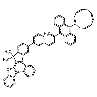 C=C(/C=C\c1cccc(-c2ccc3c(c2)-c2c(c4oc5ccccc5c4c4ccccc24)C3(C)C)c1)c1c2ccccc2c(/C2=C/C=C\C/C=C\C=C/C2)c2ccccc12